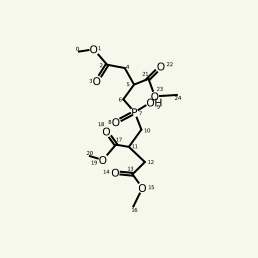 COC(=O)CC(CP(=O)(O)CC(CC(=O)OC)C(=O)OC)C(=O)OC